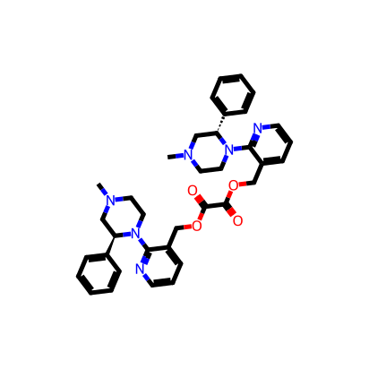 CN1CCN(c2ncccc2COC(=O)C(=O)OCc2cccnc2N2CCN(C)C[C@@H]2c2ccccc2)[C@@H](c2ccccc2)C1